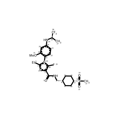 CCc1nc(C(=O)NC[C@H]2CC[C@@H](S(C)(=O)=O)CC2)c(F)n1-c1ccc(N[C@H](C)C(F)(F)F)cc1OC